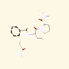 CC(C)N(C)C(=O)[C@H]1C[C@H](O)CN1C(=O)C(CCC(F)(F)F)NC(=O)c1ccccc1OCC(=O)NC(C)(C)C